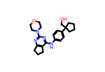 OCC1(c2ccc(Nc3nc(N4CCOCC4)nc4c3CCC4)cc2)CCCC1